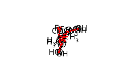 Cc1c(CN(C(=O)C2=C(c3ccc(CCCOc4c(F)ccc(F)c4Cl)cc3)C(C)(C)CN(C(=O)OCCCCON(O)O)C2)C2CC2)ccnc1OCC(C)OC(=O)OCCCCON(O)O